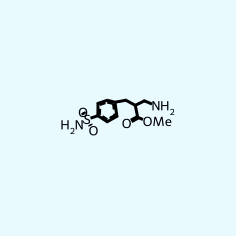 COC(=O)C(CN)Cc1ccc(S(N)(=O)=O)cc1